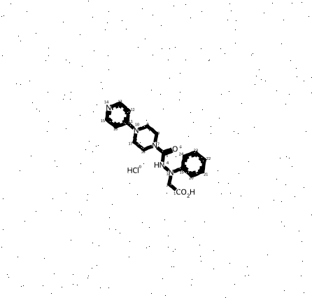 Cl.O=C(O)CN(NC(=O)N1CCN(c2ccncc2)CC1)c1ccccc1